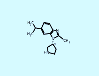 Cc1nc2ccc(C(C)C)cc2n1[C@@H]1CCNC1